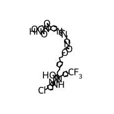 O=C1CCC(N2Cc3cc(N4CCN(CC5CCN(C(=O)COCCCc6ccc(CCc7c(-c8ccc(C(F)(F)F)cc8)nn(-c8nc9cc(Cl)ccc9[nH]8)c7O)cc6)CC5)CC4)ccc3C2=O)C(=O)N1